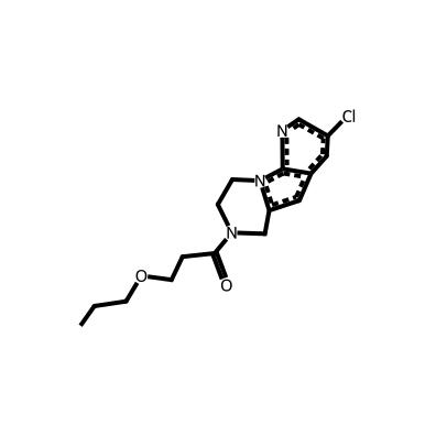 CCCOCCC(=O)N1CCn2c(cc3cc(Cl)cnc32)C1